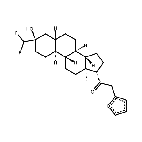 C[C@]12CC[C@H]3[C@@H](CC[C@H]4C[C@@](O)(C(F)F)CC[C@@H]43)[C@@H]1CC[C@@H]2C(=O)Cc1ccco1